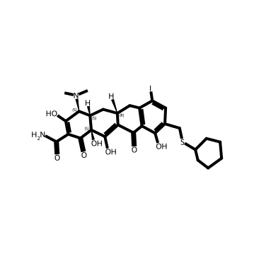 CN(C)[C@@H]1C(O)=C(C(N)=O)C(=O)[C@@]2(O)C(O)=C3C(=O)c4c(O)c(CSC5CCCCC5)cc(I)c4C[C@H]3C[C@@H]12